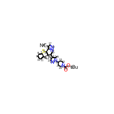 Cc1c(-c2cc(Sc3ccccc3C#N)c3c(C#N)cnn3c2)cnn1C1CCN(C(=O)OC(C)(C)C)CC1